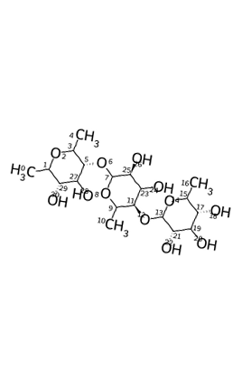 CC1OC(C)[C@H](OC2OC(C)[C@H](OC3OC(C)[C@H](O)C(O)[C@@H]3O)C(O)[C@@H]2O)C(O)[C@@H]1O